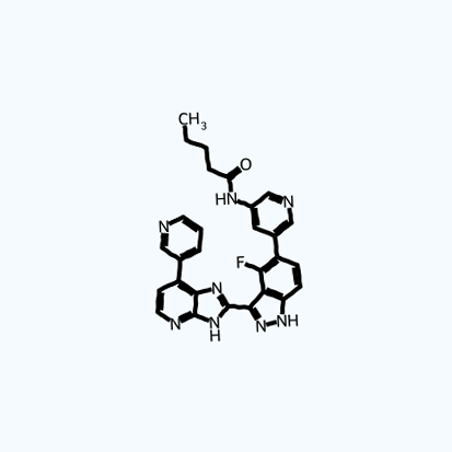 CCCCC(=O)Nc1cncc(-c2ccc3[nH]nc(-c4nc5c(-c6cccnc6)ccnc5[nH]4)c3c2F)c1